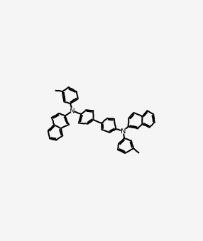 Cc1cccc(N(c2ccc(-c3ccc(N(c4cccc(C)c4)c4ccc5ccccc5c4)cc3)cc2)c2ccc3ccccc3c2)c1